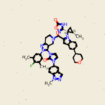 Cc1cc(-n2nc3c(c2-n2ccn(-c4ccc5c(cnn5C)c4)c2=O)CN(C(=O)c2cc4cc(C5CCOCC5)ccc4n2[C@@]2(c4noc(=O)[nH]4)C[C@@H]2C)CC3)cc(C)c1F